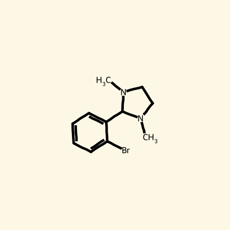 CN1CCN(C)C1c1ccccc1Br